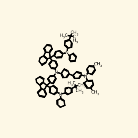 Cc1ccc(N(c2ccc(C)cc2)c2ccc(-c3ccc(N(c4ccc(C5(c6ccc(N(C7=CCCC=C7)c7ccc(C(C)(C)C)cc7)cc6)C6=C(CCC=C6)c6ccccc65)cc4)c4ccc(C5(c6ccc(N(c7ccccc7)c7ccc(C(C)(C)C)cc7)cc6)C6=C(CCC=C6)c6ccccc65)cc4)cc3)cc2)cc1